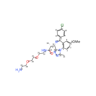 COc1ccc2c(c1)C(c1ccc(Cl)cc1)=N[C@@H]([C@@H](C)C(=O)NCCOCCOCCN)c1nnc(C)n1-2